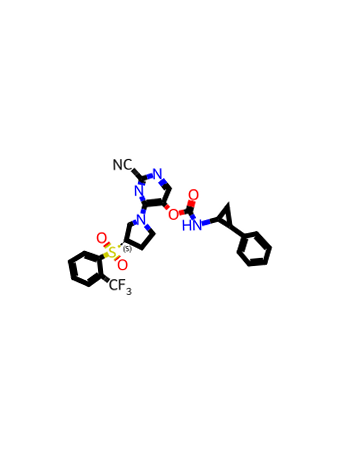 N#Cc1ncc(OC(=O)NC2CC2c2ccccc2)c(N2CC[C@H](S(=O)(=O)c3ccccc3C(F)(F)F)C2)n1